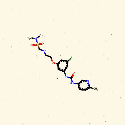 Cc1ccc(NC(=O)Nc2cc(F)cc(OCCNCS(=O)(=O)N(C)C)c2)cn1